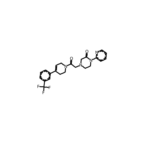 O=C(CN1CCN(c2ccccn2)C(=O)C1)N1CC=C(c2cccc(C(F)(F)F)c2)CC1